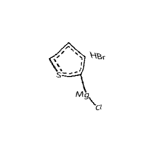 Br.[Cl][Mg][c]1cccs1